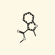 COC(=O)c1c(C)oc2ccccc12